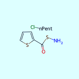 CCCCCCl.NSC(=O)c1cccs1